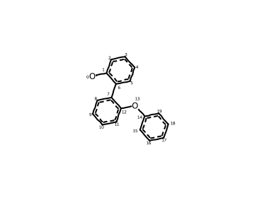 [O]c1ccccc1-c1ccccc1Oc1ccccc1